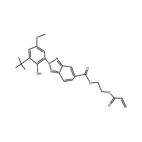 C=CC(=O)OCCOC(=O)c1ccc2nn(-c3cc(OC)cc(C(C)(C)C)c3O)nc2c1